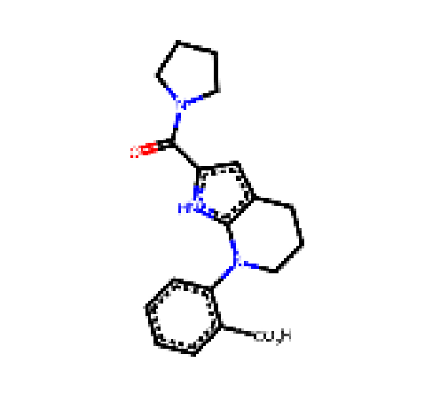 O=C(O)c1ccccc1N1CCCc2cc(C(=O)N3CCCC3)[nH]c21